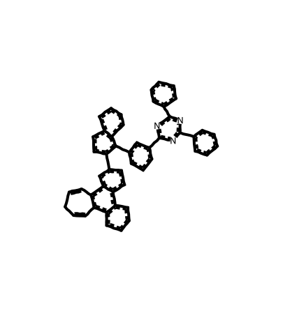 C1=Cc2c(c3cc(-c4ccc5ccccc5c4-c4cccc(-c5nc(-c6ccccc6)nc(-c6ccccc6)n5)c4)ccc3c3ccccc23)C=CC1